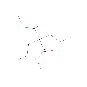 CCCC(CCC)(C(=O)OC)C(=O)OC